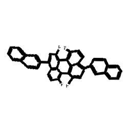 Fc1ccc2c(-c3ccc4ccccc4c3)cc(F)c3c4c(F)ccc5c(-c6ccc7ccccc7c6)cc(F)c(c1c23)c54